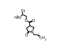 C=CCN1CC(C(=O)OCC(CC)CCCC)CC1=O